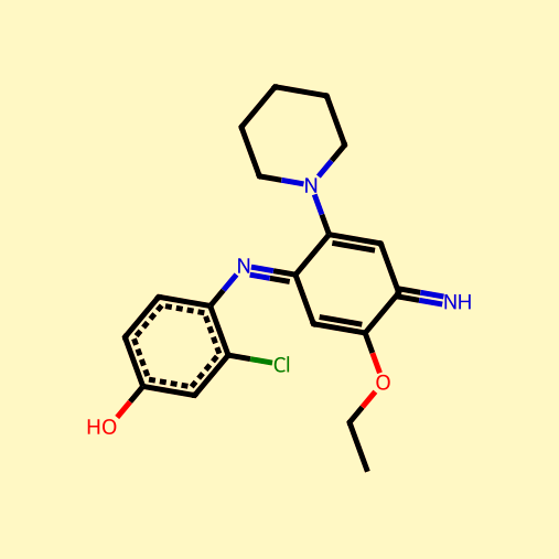 CCOC1=CC(=Nc2ccc(O)cc2Cl)C(N2CCCCC2)=CC1=N